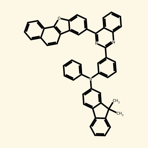 CC1(C)c2ccccc2-c2ccc(N(c3ccccc3)c3cccc(-c4nc(-c5ccc6oc7c8ccccc8ccc7c6c5)c5ccccc5n4)c3)cc21